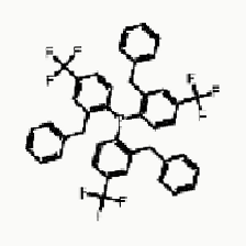 FC(F)(F)c1ccc(P(c2ccc(C(F)(F)F)cc2Cc2ccccc2)c2ccc(C(F)(F)F)cc2Cc2ccccc2)c(Cc2ccccc2)c1